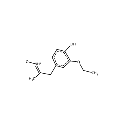 CCOc1cc(CC(C)=[NH+][O-])ccc1O